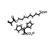 C=C(C)C(=O)OCCCCCCCCCCCCCCCCCC.CC(C(=O)O)=C(C1CCCC1)C1CCCC1